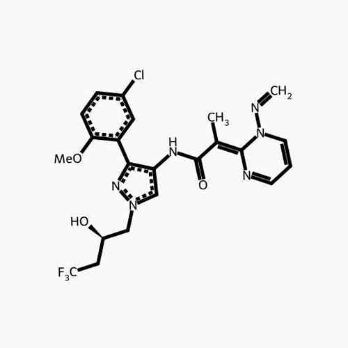 C=NN1C=CC=N/C1=C(/C)C(=O)Nc1cn(C[C@H](O)CC(F)(F)F)nc1-c1cc(Cl)ccc1OC